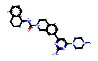 CN1CCN(c2cc(-c3ccc4c(c3)CN(C(=O)NC3CCCc5ccccc53)CC4)nc(N)n2)CC1